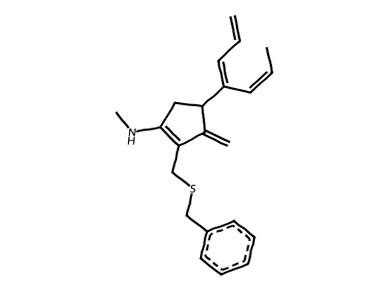 C=C/C=C(\C=C/C)C1CC(NC)=C(CSCc2ccccc2)C1=C